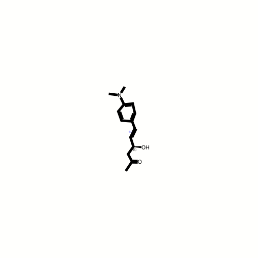 CC(=O)C[C@H](O)/C=C/c1ccc(N(C)C)cc1